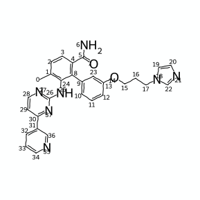 Cc1ccc(C(N)=O)c(-c2cccc(OCCCn3ccnc3)c2)c1Nc1nccc(-c2cccnc2)n1